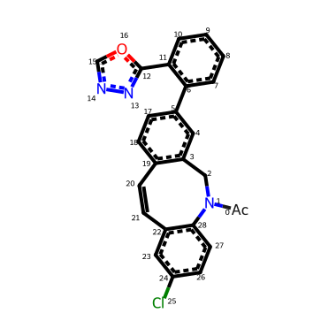 CC(=O)N1Cc2cc(-c3ccccc3-c3nnco3)ccc2/C=C\c2cc(Cl)ccc21